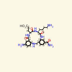 NCCCC[C@@H]1NC(=O)C(CCC(=O)O)NC(=O)c2cc(N)ccc2NCc2ccc(C(N)=O)cc2NC1=O